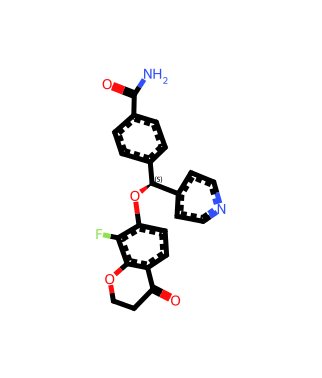 NC(=O)c1ccc([C@H](Oc2ccc3c(c2F)OCCC3=O)c2ccncc2)cc1